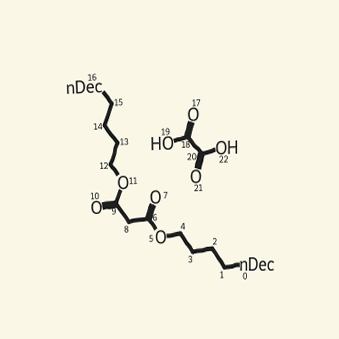 CCCCCCCCCCCCCCOC(=O)CC(=O)OCCCCCCCCCCCCCC.O=C(O)C(=O)O